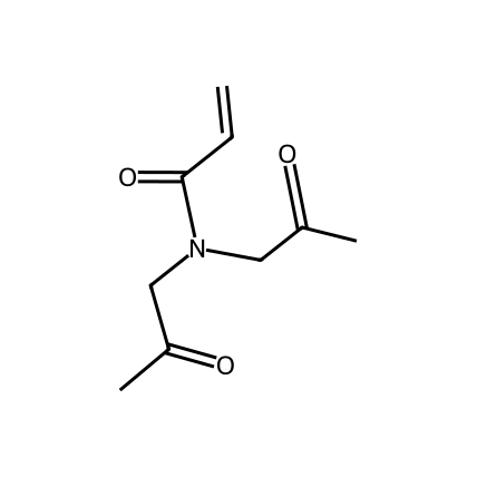 C=CC(=O)N(CC(C)=O)CC(C)=O